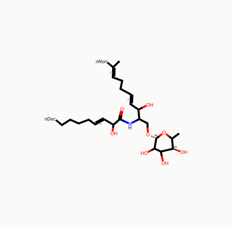 CCCCCCCCCCCCCC/C=C/C(O)C(=O)NC(CO[C@@H]1OC(C)[C@@H](O)C(O)C1O)C(O)/C=C/CC/C=C(\C)CCCCCCCCC